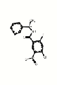 C[C@@H](NC(=O)c1cc([N+](=O)[O-])c(Cl)cc1F)c1ccccc1